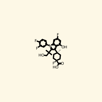 CC(C)(CO)c1c([C@]2(C)CC[C@@](F)(C(=O)O)CC2)c2c(O)cc(F)cc2n1-c1ccc(F)c(F)c1